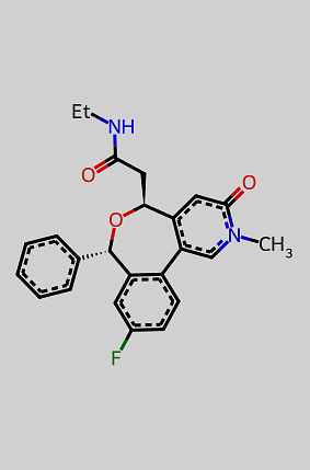 CCNC(=O)C[C@@H]1O[C@@H](c2ccccc2)c2cc(F)ccc2-c2cn(C)c(=O)cc21